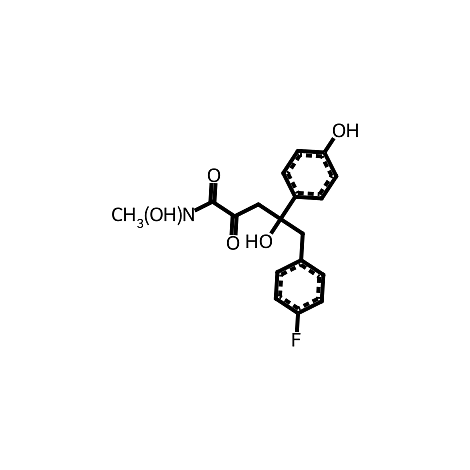 CN(O)C(=O)C(=O)CC(O)(Cc1ccc(F)cc1)c1ccc(O)cc1